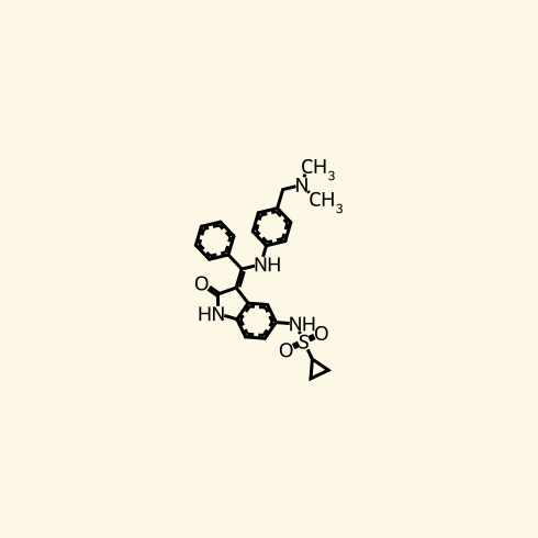 CN(C)Cc1ccc(NC(=C2C(=O)Nc3ccc(NS(=O)(=O)C4CC4)cc32)c2ccccc2)cc1